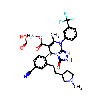 COC(=O)C1=C(C)N(c2cccc(C(F)(F)F)c2)c2n[nH]c(=O)n2[C@@H]1c1ccc(C#N)cc1CCC1CCN(C)C1.O=CO